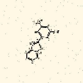 Bc1cc(Br)cc(-c2nc3ccccc3s2)c1